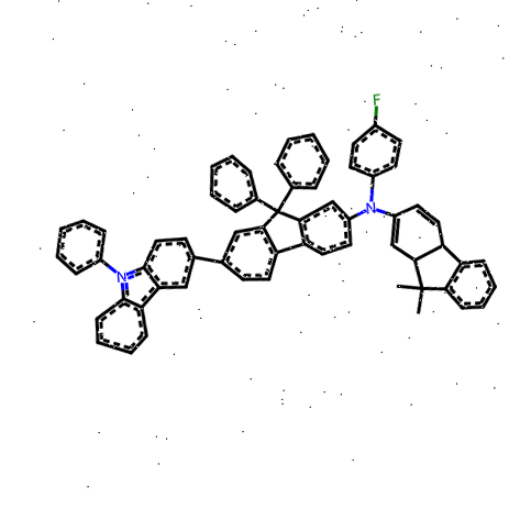 CC1(C)c2ccccc2C2C=CC(N(c3ccc(F)cc3)c3ccc4c(c3)C(c3ccccc3)(c3ccccc3)c3cc(-c5ccc6c(c5)c5ccccc5n6-c5ccccc5)ccc3-4)=CC21